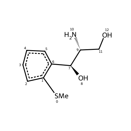 CSc1ccccc1[C@H](O)[C@H](N)CO